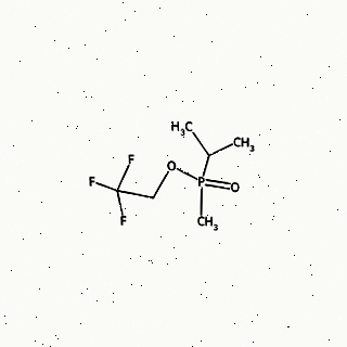 CC(C)P(C)(=O)OCC(F)(F)F